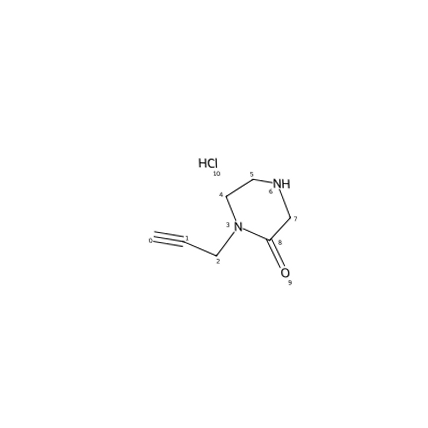 C#CCN1CCNCC1=O.Cl